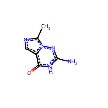 Cc1ncc2c(=O)[nH]c(N)nn12